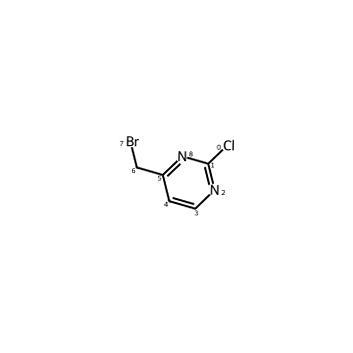 Clc1nccc(CBr)n1